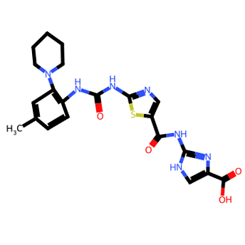 Cc1ccc(NC(=O)Nc2ncc(C(=O)Nc3nc(C(=O)O)c[nH]3)s2)c(N2CCCCC2)c1